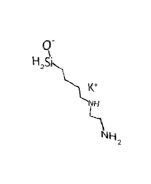 NCCNCCCC[SiH2][O-].[K+]